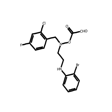 O=CC(=O)ON(CCNc1ccccc1Br)Cc1ccc(F)cc1Cl